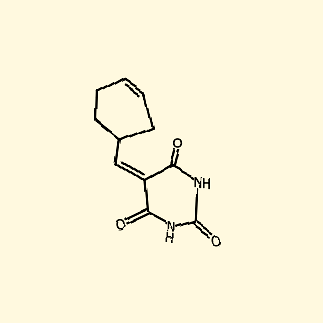 O=C1NC(=O)C(=CC2CC=CCC2)C(=O)N1